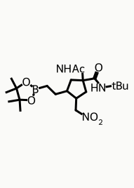 CC(=O)NC1(C(=O)NC(C)(C)C)CC(CCB2OC(C)(C)C(C)(C)O2)C(C[N+](=O)[O-])C1